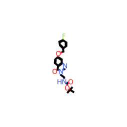 CC(C)(C)OC(=O)NCCn1cnc2cc(OCc3ccc(F)cc3)ccc2c1=O